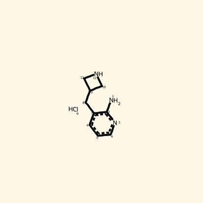 Cl.Nc1ncccc1CC1CNC1